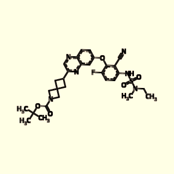 CCN(C)S(=O)(=O)Nc1ccc(F)c(Oc2ccc3ncc(C4CC5(C4)CN(C(=O)OC(C)(C)C)C5)nc3c2)c1C#N